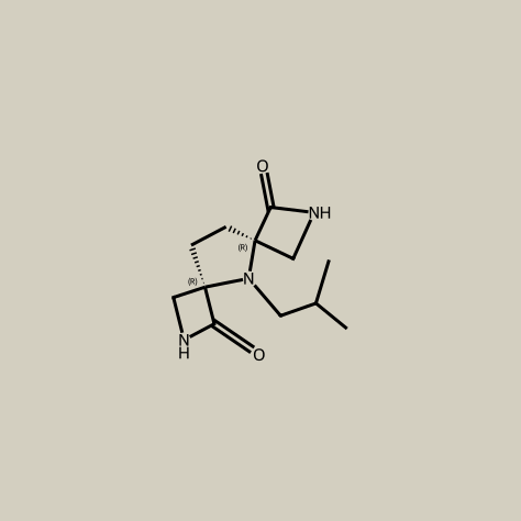 CC(C)CN1[C@]2(CC[C@]13CNC3=O)CNC2=O